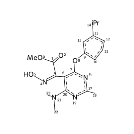 COC(=O)C(=NO)c1c(Oc2cccc(C(C)C)c2)nc(C)nc1N(C)C